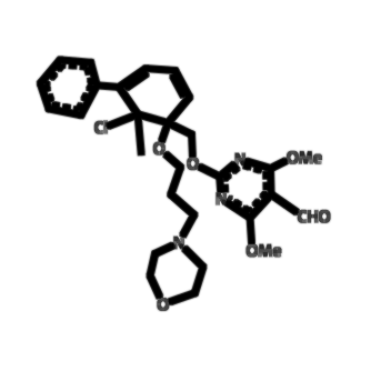 COc1nc(OCC2(OCCCN3CCOCC3)C=CC=C(c3ccccc3)C2(C)Cl)nc(OC)c1C=O